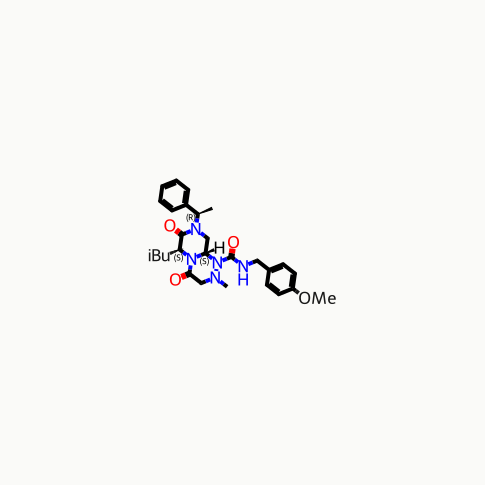 CCC(C)[C@H]1C(=O)N([C@H](C)c2ccccc2)C[C@H]2N1C(=O)CN(C)N2C(=O)NCc1ccc(OC)cc1